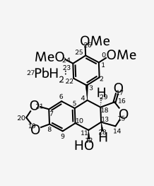 COc1cc([C@@H]2c3cc4c(cc3[C@H](O)[C@H]3COC(=O)[C@H]23)OCO4)cc(OC)c1OC.[PbH2]